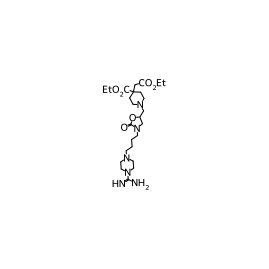 CCOC(=O)CC1(C(=O)OCC)CCN(CC2CN(CCCCN3CCN(C(=N)N)CC3)C(=O)O2)CC1